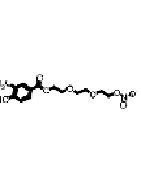 Cc1cc(C(=O)OCCOCCOCCO[N+](=O)[O-])ccc1O